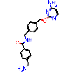 NCc1ccc(C(=O)NCc2ccc(COc3nccc(N)n3)cc2)cc1